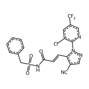 N#Cc1cnn(-c2ncc(C(F)(F)F)cc2Cl)c1C=CC(=O)NS(=O)(=O)Cc1ccccc1